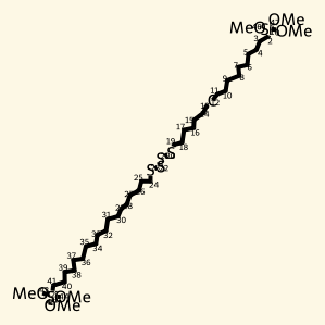 CO[Si](CCCCCCCCCCCCCCCCCCSSSSCCCCCCCCCCCCCCCCCC[Si](OC)(OC)OC)(OC)OC